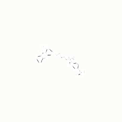 CC(=O)Nc1ccc(S(=O)(=O)NCCCCCOc2cc(O)c3c(=O)c4ccccc4oc3c2)cc1